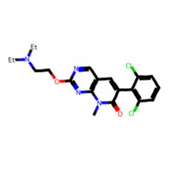 CCN(CC)CCOc1ncc2cc(-c3c(Cl)cccc3Cl)c(=O)n(C)c2n1